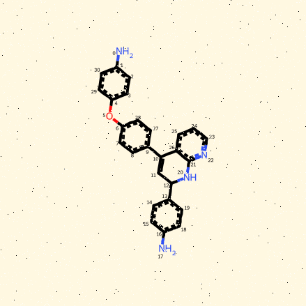 Nc1ccc(Oc2ccc(C3=CC(c4ccc(N)cc4)Nc4ncccc43)cc2)cc1